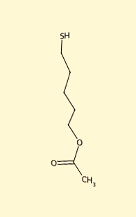 CC(=O)OCCCCCS